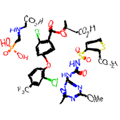 COc1nc(C)nc(NC(=O)NS(=O)(=O)c2ccsc2C(=O)O)n1.C[C@H](OC(=O)c1cc(Oc2ccc(C(F)(F)F)cc2Cl)ccc1Cl)C(=O)O.O=C(O)CNCP(=O)(O)O